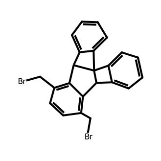 BrCc1ccc(CBr)c2c1C1c3ccccc3C13c1ccccc1C23